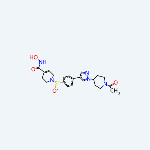 CC(=O)N1CCC(n2cc(-c3ccc([S+]([O-])N4CC=C(C(=O)NO)CC4)cc3)cn2)CC1